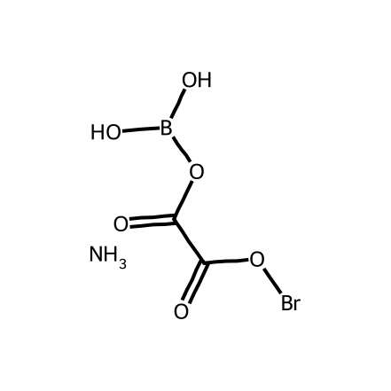 N.O=C(OBr)C(=O)OB(O)O